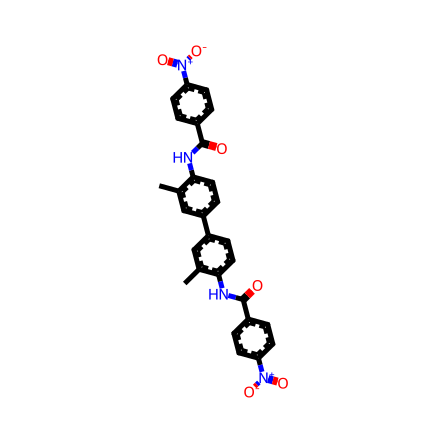 Cc1cc(-c2ccc(NC(=O)c3ccc([N+](=O)[O-])cc3)c(C)c2)ccc1NC(=O)c1ccc([N+](=O)[O-])cc1